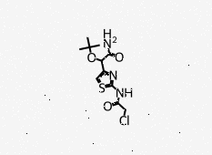 CC(C)(C)OC(C(N)=O)c1csc(NC(=O)CCl)n1